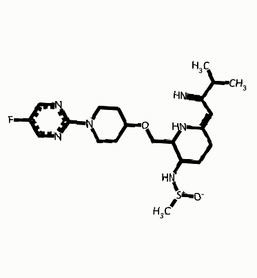 CC(C)C(=N)/C=C1/CCC(N[S+](C)[O-])C(COC2CCN(c3ncc(F)cn3)CC2)N1